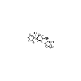 CSC(NC#N)Nc1ccc(-n2ccccc2=O)c(C)c1